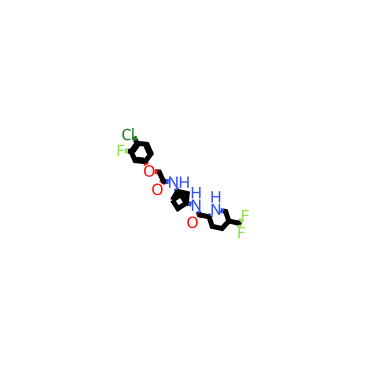 O=C(COc1ccc(Cl)c(F)c1)NC1CC2(NC(=O)C3CCC(C(F)F)CN3)CC1C2